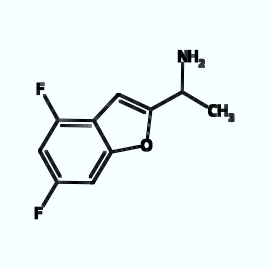 CC(N)c1cc2c(F)cc(F)cc2o1